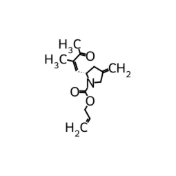 C=CCOC(=O)N1CC(=C)C[C@H]1C=C(C)C(C)=O